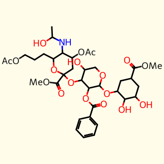 COC(=O)C1CC(O)C(O)C(OC2OCC(O)C(OC3(C(=O)OC)CC(OC(C)=O)C(NC(C)O)C(CCCOC(C)=O)O3)C2OC(=O)c2ccccc2)C1